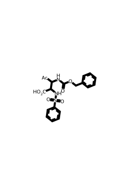 CC(=O)C(NC(=O)OCc1ccccc1)C(NS(=O)(=O)c1ccccc1)C(=O)O